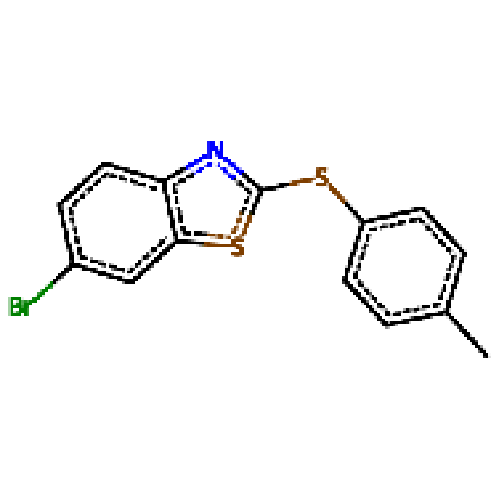 Cc1ccc(Sc2nc3ccc(Br)cc3s2)cc1